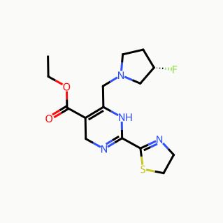 CCOC(=O)C1=C(CN2CC[C@H](F)C2)NC(C2=NCCS2)=NC1